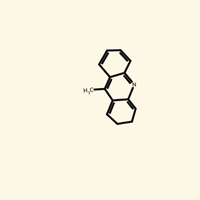 Cc1c2c(nc3ccccc13)=CCCC=2